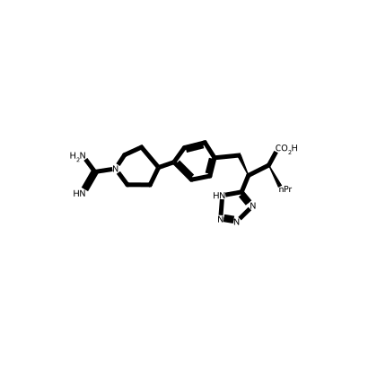 CCC[C@H](C(=O)O)[C@H](Cc1ccc(C2CCN(C(=N)N)CC2)cc1)c1nnn[nH]1